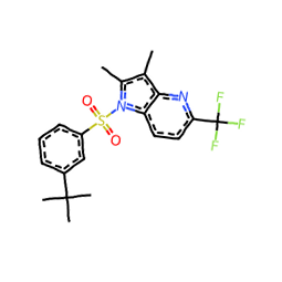 Cc1c(C)n(S(=O)(=O)c2cccc(C(C)(C)C)c2)c2ccc(C(F)(F)F)nc12